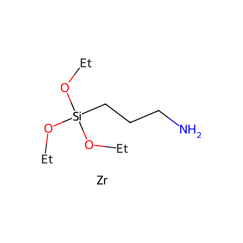 CCO[Si](CCCN)(OCC)OCC.[Zr]